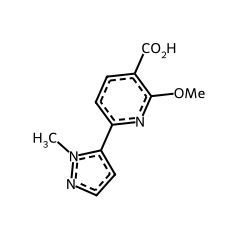 COc1nc(-c2ccnn2C)ccc1C(=O)O